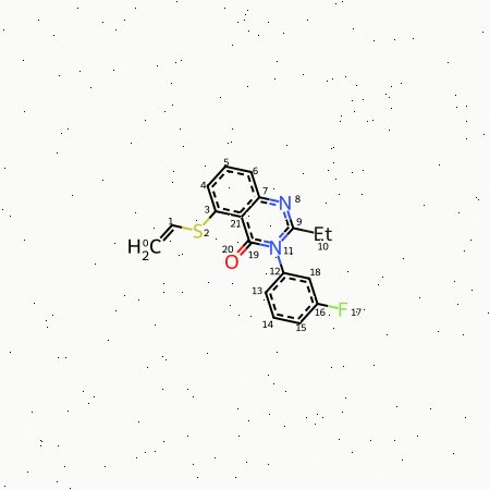 C=CSc1cccc2nc(CC)n(-c3cccc(F)c3)c(=O)c12